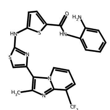 Cc1nc2c(C(F)(F)F)cccn2c1-c1csc(Nc2ccc(C(=O)Nc3ccccc3N)s2)n1